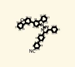 N#Cc1ccc(-c2ccc(-c3cc(-c4ccccc4)nc(-n4c5ccccc5c5cc(-c6ccc7oc8ccccc8c7c6)ccc54)n3)cc2)cc1